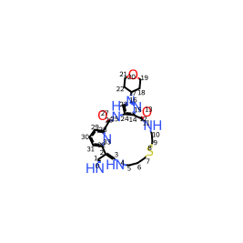 N=C/C1=C\NCCCSCCNC(=O)c2nn(C3CCOCC3)cc2NC(=O)c2cccc1n2